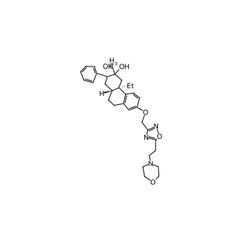 CC[C@@]12CC(C)(O)[C@](O)(c3ccccc3)C[C@H]1CCc1cc(OCc3noc(CCN4CCOCC4)n3)ccc12